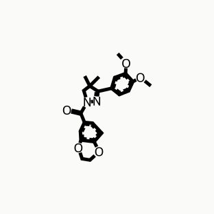 COc1ccc(C2=NN(C(=O)c3ccc4c(c3)OCCO4)CC2(C)C)cc1OC